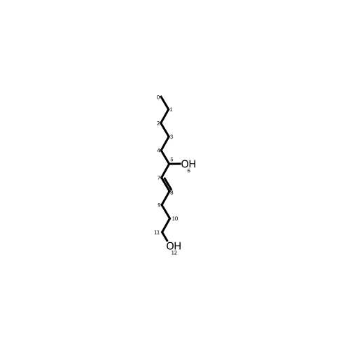 CCCCCC(O)C=CCCCO